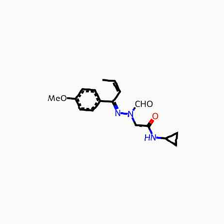 C/C=C\C(=N/N(C=O)CC(=O)NC1CC1)c1ccc(OC)cc1